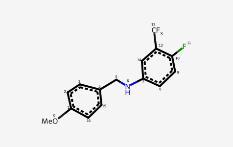 COc1ccc(CNc2ccc(F)c(C(F)(F)F)c2)cc1